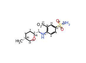 C[C@@H]1CC[C@H](CNc2ccc(S(N)(=O)=O)cc2[N+](=O)[O-])OC1